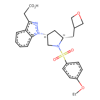 CCOc1ccc(S(=O)(=O)N2C[C@H](n3nc(CC(=O)O)c4ccccc43)C[C@@H]2CC2COC2)cc1